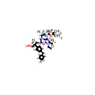 CC1COCCN1C[C@H]1CN(C(=O)OC(C)(C)C)[C@H](C)CN1CC(=O)N1CC(C)(CO)c2ccc(Cc3ccc(F)cc3)cc21